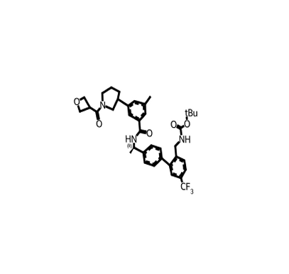 Cc1cc(C(=O)N[C@H](C)c2ccc(-c3cc(C(F)(F)F)ccc3CNC(=O)OC(C)(C)C)cc2)cc(C2CCCN(C(=O)C3COC3)C2)c1